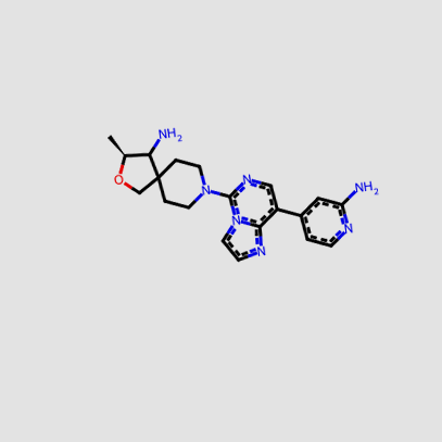 C[C@@H]1OCC2(CCN(c3ncc(-c4ccnc(N)c4)c4nccn34)CC2)C1N